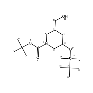 CC(C)(C)OC(=O)N1CC(CO)CC(O[Si](C)(C)C(C)(C)C)C1